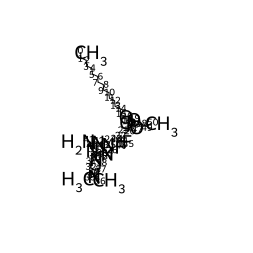 CCCCCCCCCCCCCCCCOOP(=O)(CC[C@H]1[C@@H](Cn2cnc3c(-[n+]4ccc(N(C)C)cc4)nc(N)nc32)C1(F)F)OCCC